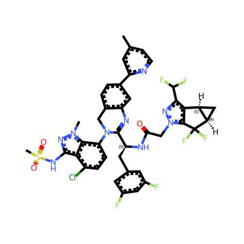 Cc1ccnc(-c2ccc3c(c2)N=C([C@H](Cc2cc(F)cc(F)c2)NC(=O)Cn2nc(C(F)F)c4c2C(F)(F)[C@@H]2C[C@H]42)N(c2ccc(Cl)c4c(NS(C)(=O)=O)nn(C)c24)C3)c1